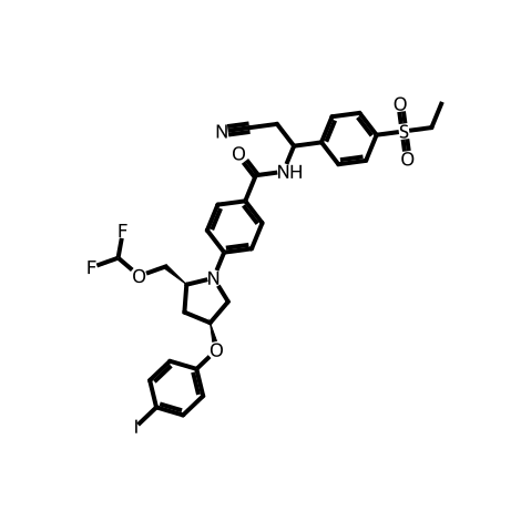 CCS(=O)(=O)c1ccc(C(CC#N)NC(=O)c2ccc(N3C[C@@H](Oc4ccc(I)cc4)C[C@H]3COC(F)F)cc2)cc1